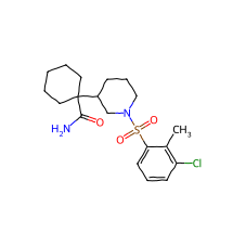 Cc1c(Cl)cccc1S(=O)(=O)N1CCCC(C2(C(N)=O)CCCCC2)C1